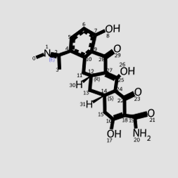 C/N=C(\C)c1ccc(O)c2c1C[C@H]1C[C@H]3CC(O)=C(C(N)=O)C(=O)C3C(O)=C1C2=O